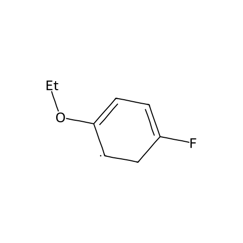 CCOC1=CC=C(F)C[CH]1